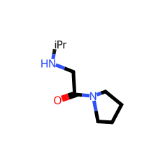 CC(C)NCC(=O)N1CCCC1